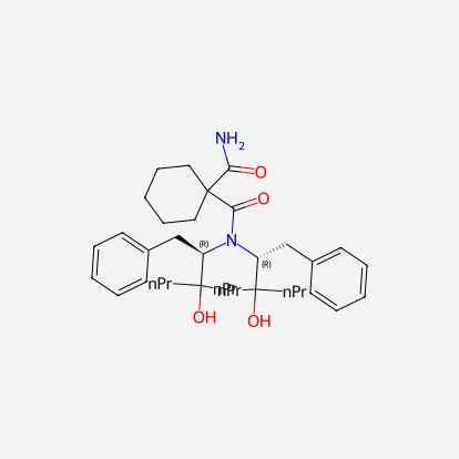 CCCC(O)(CCC)[C@@H](Cc1ccccc1)N(C(=O)C1(C(N)=O)CCCCC1)[C@H](Cc1ccccc1)C(O)(CCC)CCC